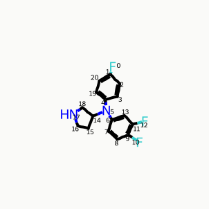 Fc1ccc(N(c2ccc(F)c(F)c2)C2CCNC2)cc1